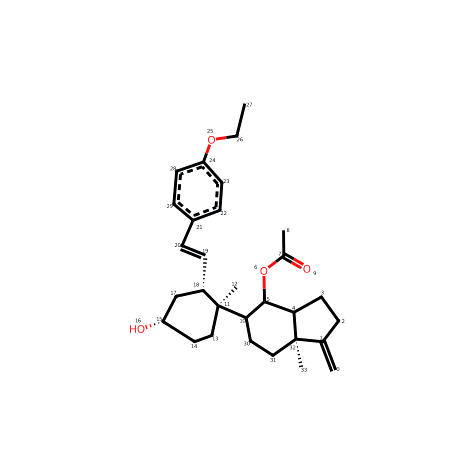 C=C1CCC2C(OC(C)=O)C([C@@]3(C)CC[C@H](O)C[C@@H]3/C=C/c3ccc(OCC)cc3)CC[C@]12C